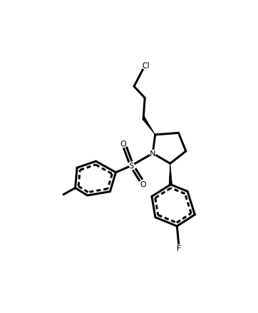 Cc1ccc(S(=O)(=O)N2[C@@H](CCCCl)CC[C@H]2c2ccc(F)cc2)cc1